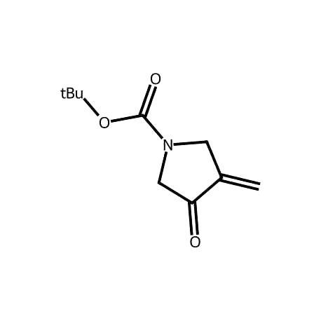 C=C1CN(C(=O)OC(C)(C)C)CC1=O